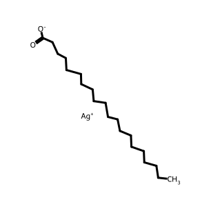 CCCCCCCCCCCCCCCCCCCC(=O)[O-].[Ag+]